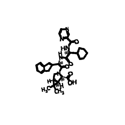 CC1(C)[C@@H]2[C@@H](C(=O)O)N(C(=O)[C@@H](NC(=O)[C@@H](NC(=O)c3cnccn3)C3CCCCC3)C3Cc4ccccc4C3)C[C@@H]21